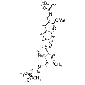 COC(=O)C(CNC(=O)OC(C)(C)C)Cc1ccc(Oc2ccnc3c2cc(C)n3COCC[Si](C)(C)C)cc1